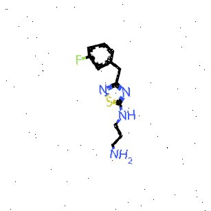 NCCCNc1nc(Cc2cccc(F)c2)ns1